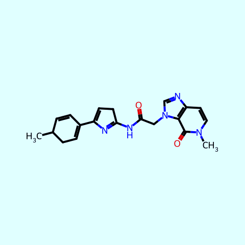 CC1C=CC(C2=CCC(NC(=O)Cn3cnc4ccn(C)c(=O)c43)=N2)=CC1